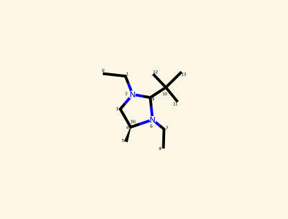 CCN1C[C@H](C)N(CC)C1C(C)(C)C